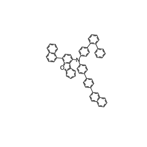 c1ccc(-c2ccccc2-c2ccc(N(c3ccc(-c4ccc(-c5ccc6ccccc6c5)cc4)cc3)c3ccc(-c4cccc5ccccc45)c4oc5ccccc5c34)cc2)cc1